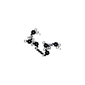 CN(CCCCCCN(C)Cc1cccc(C(=O)Nc2ccc(Cl)cc2C(=O)N/N=C/c2ccc(Cl)c(C(F)(F)F)c2)c1)Cc1cccc(C(=O)Nc2ccc(Cl)cc2C(=O)N/N=C/c2ccc(Cl)c(C(F)(F)F)c2)c1